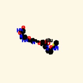 Cc1c(OCCCc2ccc(CC(=O)Nc3ccc4c(C5CCC(=O)NC5=O)nn(C)c4c3)cn2)cccc1-c1ccc(N2CCc3cccc(C(=O)Nc4nc5ccccc5s4)c3C2)nc1C(=O)OC(C)(C)C